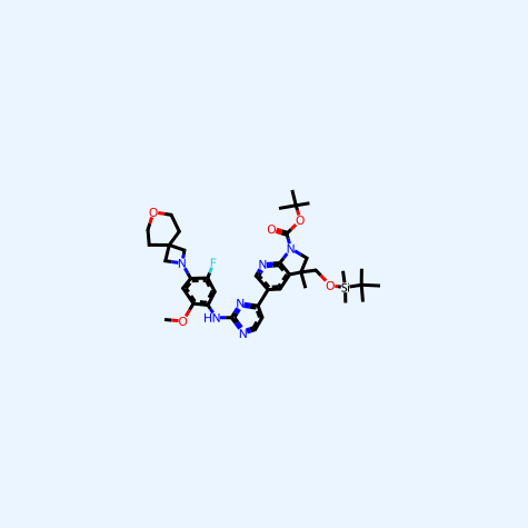 COc1cc(N2CC3(CCOCC3)C2)c(F)cc1Nc1nccc(-c2cnc3c(c2)C(C)(CO[Si](C)(C)C(C)(C)C)CN3C(=O)OC(C)(C)C)n1